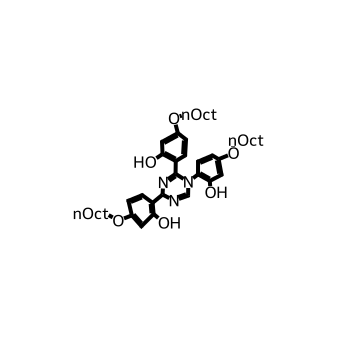 CCCCCCCCOc1ccc(C2=NC(c3ccc(OCCCCCCCC)cc3O)N=CN2c2ccc(OCCCCCCCC)cc2O)c(O)c1